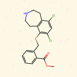 COC(=O)c1ccccc1CSc1c(Cl)cc(Cl)c2c1CCNCC2